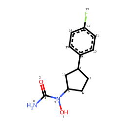 NC(=O)N(O)C1CCC(c2ccc(F)cc2)C1